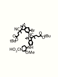 CO[C@@H]1CN(C(=O)O)CC[C@H]1Nc1ccc2c(C(C)(C#N)CCC(=O)OC(C)(C)C)nn(C)c2c1.Cn1nc(C(C)(C#N)CCC(=O)OC(C)(C)C)c2ccc(Br)cc21